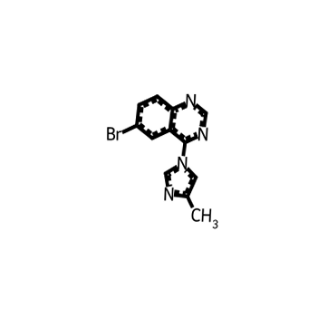 Cc1cn(-c2ncnc3ccc(Br)cc23)cn1